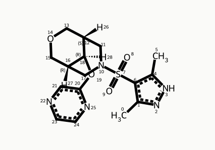 Cc1n[nH]c(C)c1S(=O)(=O)N1C[C@H]2COC[C@@H](C1)[C@@H]2Oc1cnccn1